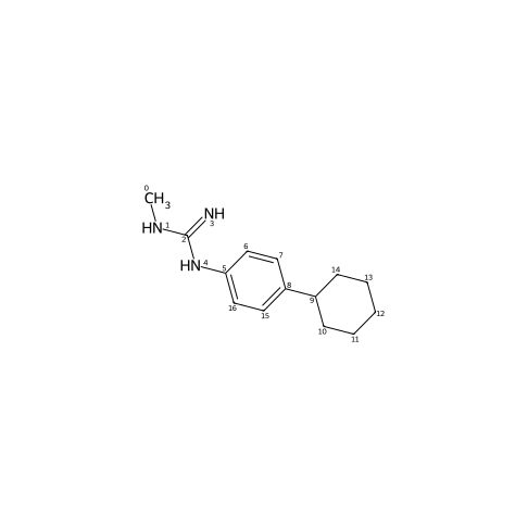 CNC(=N)Nc1ccc(C2CCCCC2)cc1